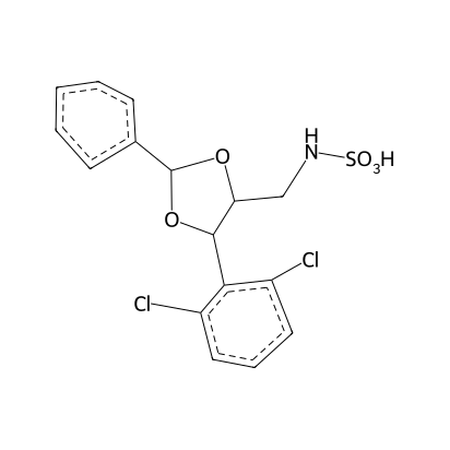 O=S(=O)(O)NCC1OC(c2ccccc2)OC1c1c(Cl)cccc1Cl